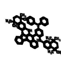 CC1(C)CCC(C)(C)c2cc(Nc3ccc(N(c4ccccc4)c4ccccc4)cc3-c3c4c5c(c6ccccc36)c3ccccc3n5-c3cc5c(cc3B4)C(C)(C)CCC5(C)C)ccc21